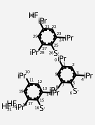 CC(C)c1cc(C(C)C)c([S])c(C(C)C)c1.CC(C)c1cc(C(C)C)c([S])c(C(C)C)c1.CC(C)c1cc(C(C)C)c([S])c(C(C)C)c1.F.F.F